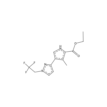 CCOC(=O)c1[nH]cc(-c2ccn(CC(F)(F)F)n2)c1C